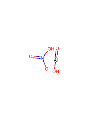 O=[N+]([O-])O.[O]=[Al][OH]